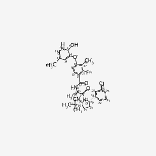 CC1=NNC(O)C(Oc2ccc(C(=O)N[C@H](C)C(=O)N3[C@H](c4cccc(Cl)c4)CC[C@@H]3C(C)(C)C#N)c(F)c2C)=C1